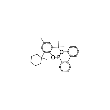 Cc1cc(C(C)(C)C)c(OP2Oc3ccccc3-c3ccccc32)c(C2(C)CCCCC2)c1